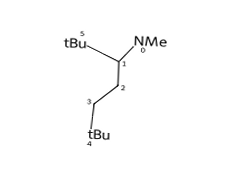 CNC(CCC(C)(C)C)C(C)(C)C